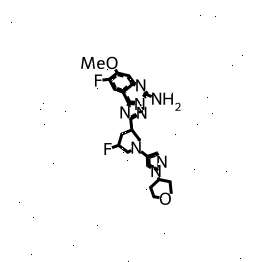 COc1cc2nc(N)n3nc(C4CC(F)CN(c5cnn(C6CCOCC6)c5)C4)nc3c2cc1F